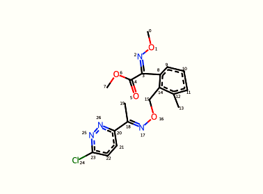 CO/N=C(/C(=O)OC)c1cccc(C)c1CO/N=C(\C)c1ccc(Cl)nn1